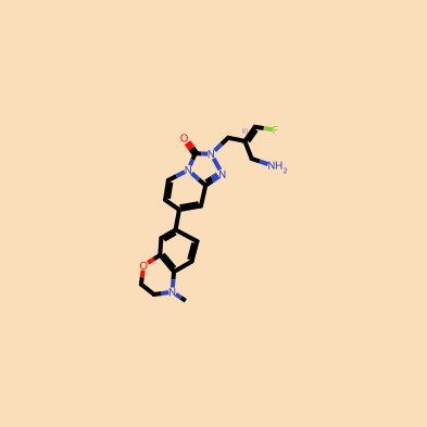 CN1CCOc2cc(-c3ccn4c(=O)n(C/C(=C/F)CN)nc4c3)ccc21